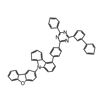 c1ccc(-c2cccc(-c3nc(-c4ccccc4)nc(-c4ccc(-c5cccc6c5c5ccccc5n6-c5ccc6oc7ccccc7c6c5)cc4)n3)c2)cc1